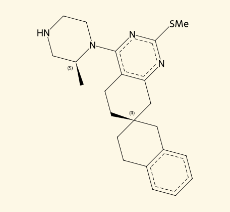 CSc1nc2c(c(N3CCNC[C@@H]3C)n1)CC[C@@]1(CCc3ccccc3C1)C2